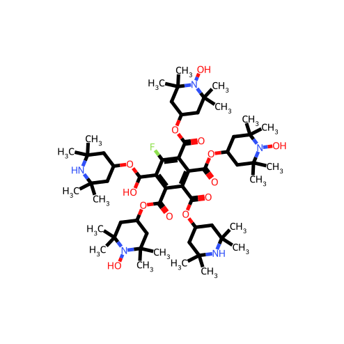 CC1(C)CC(OC(=O)c2c(C(=O)OC3CC(C)(C)N(O)C(C)(C)C3)c(C(=O)OC3CC(C)(C)N(O)C(C)(C)C3)c(F)c(C(O)OC3CC(C)(C)NC(C)(C)C3)c2C(=O)OC2CC(C)(C)N(O)C(C)(C)C2)CC(C)(C)N1